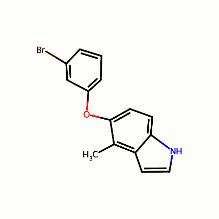 Cc1c(Oc2cccc(Br)c2)ccc2[nH]ccc12